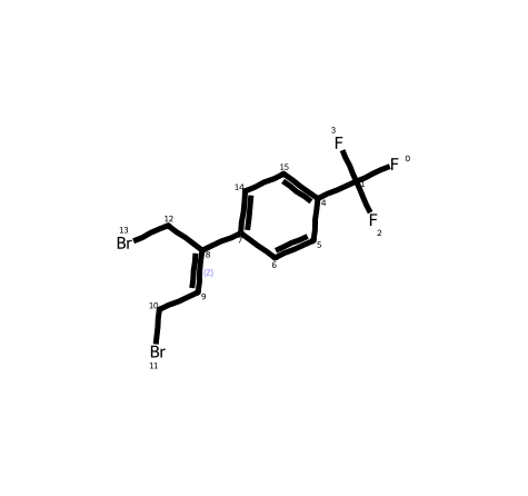 FC(F)(F)c1ccc(/C(=C/CBr)CBr)cc1